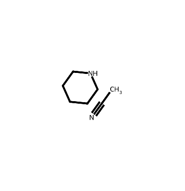 C1CCNCC1.CC#N